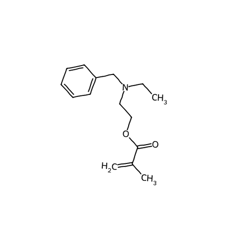 C=C(C)C(=O)OCCN(CC)Cc1ccccc1